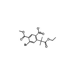 CCOC(=O)C(C)(C)c1cc(Br)c(C(=O)OC)cc1[N+](=O)[O-]